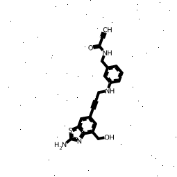 C#CC(=O)NCc1cccc(NCC#Cc2cc(CO)c3nc(N)sc3c2)c1